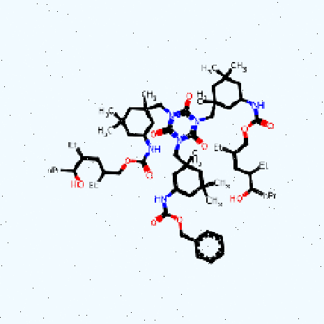 CCCC(O)C(CC)CC(CC)COC(=O)NC1CC(C)(C)CC(C)(Cn2c(=O)n(CC3(C)CC(NC(=O)OCc4ccccc4)CC(C)(C)C3)c(=O)n(CC3(C)CC(NC(=O)OCC(CC)CC(CC)C(O)CCC)CC(C)(C)C3)c2=O)C1